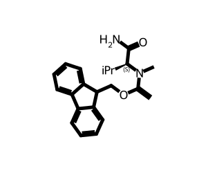 C=C(OCC1c2ccccc2-c2ccccc21)N(C)[C@H](C(N)=O)C(C)C